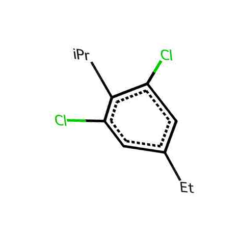 CCc1cc(Cl)c(C(C)C)c(Cl)c1